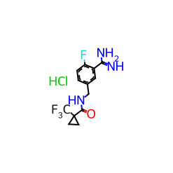 Cl.N=C(N)c1cc(CNC(=O)C2(C(F)(F)F)CC2)ccc1F